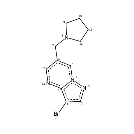 Brc1cnn2cc(CN3CCCC3)cnc12